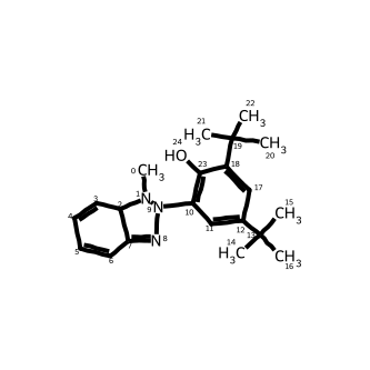 CN1C2C=CC=CC2=NN1c1cc(C(C)(C)C)cc(C(C)(C)C)c1O